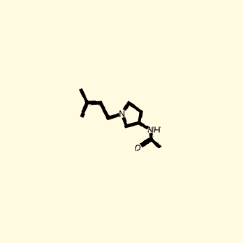 CC(=O)NC1CCN(CCC(C)C)C1